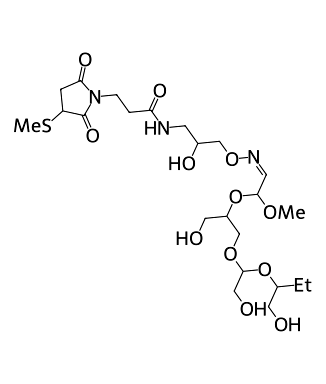 CCC(CO)OC(CO)OCC(CO)OC(/C=N\OCC(O)CNC(=O)CCN1C(=O)CC(SC)C1=O)OC